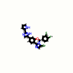 Fc1ccc([C@@H]2Oc3cc(-c4cnc(-c5ccc[nH]5)[nH]4)ccc3-c3ncc(Br)n32)cc1F